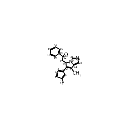 CC1=C(c2cccc(F)c2)C(CC(=O)c2ccccc2)n2cncc21